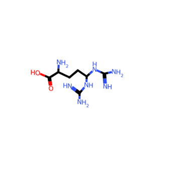 N=C(N)NC(CCC(N)C(=O)O)NC(=N)N